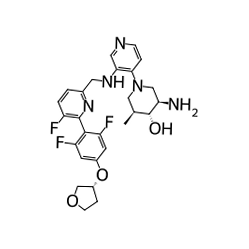 C[C@H]1CN(c2ccncc2NCc2ccc(F)c(-c3c(F)cc(O[C@@H]4CCOC4)cc3F)n2)C[C@@H](N)[C@@H]1O